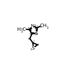 Cc1nc(C)c(CC2CS2)s1